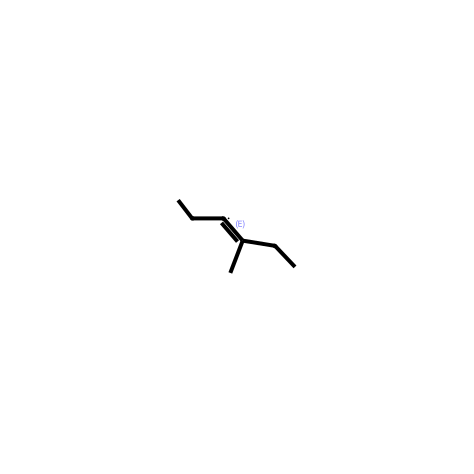 CC/[C]=C(\C)CC